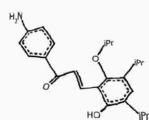 CC(C)Oc1c(C(C)C)cc(C(C)C)c(O)c1C=CC(=O)c1ccc(N)cc1